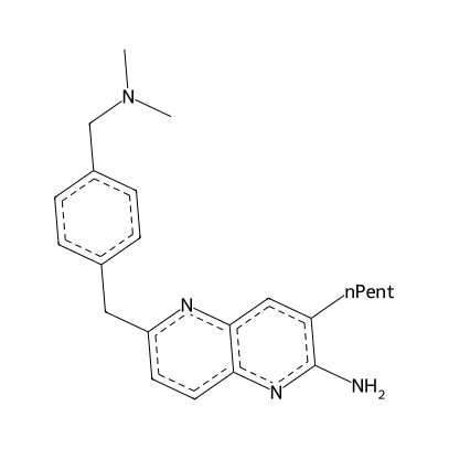 CCCCCc1cc2nc(Cc3ccc(CN(C)C)cc3)ccc2nc1N